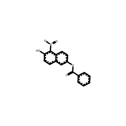 O=C(Oc1ccc2c([N+](=O)[O-])c(O)ccc2c1)c1ccccc1